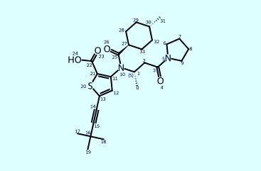 C[C@@H](CC(=O)N1CCCC1)N(c1cc(C#CC(C)(C)C)sc1C(=O)O)C(=O)[C@H]1CC[C@H](C)CC1